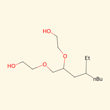 CCCCC(CC)CC(COCCO)OCCO